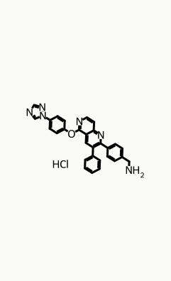 Cl.NCc1ccc(-c2nc3ccnc(Oc4ccc(-n5cncn5)cc4)c3cc2-c2ccccc2)cc1